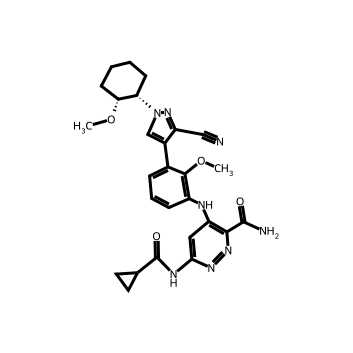 COc1c(Nc2cc(NC(=O)C3CC3)nnc2C(N)=O)cccc1-c1cn([C@H]2CCCC[C@H]2OC)nc1C#N